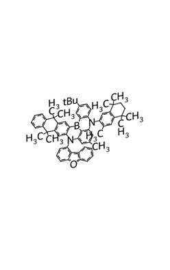 Cc1cc2c3c(c1)N(c1cccc4oc5ccccc5c14)c1cc4c(cc1B3c1cc(C(C)(C)C)ccc1N2c1cc2c(cc1C)C(C)(C)CCC2(C)C)C(C)(C)c1ccccc1C4(C)C